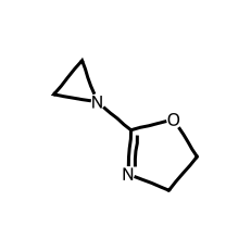 C1COC(N2CC2)=N1